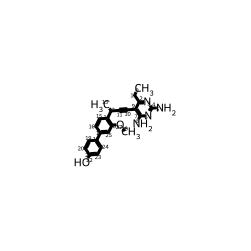 CCc1nc(N)nc(N)c1C#CC(C)c1ccc(-c2ccc(O)cc2)cc1OC